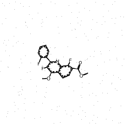 COC(=O)c1ccc2c(OC)c(F)c(-c3ccccc3F)nc2c1F